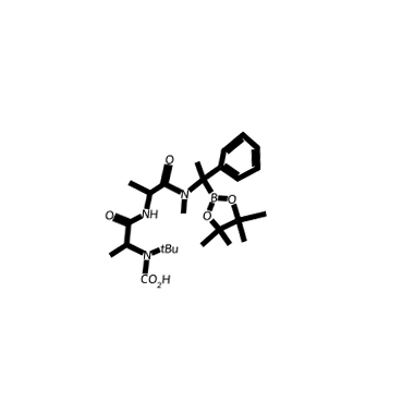 CC(NC(=O)C(C)N(C(=O)O)C(C)(C)C)C(=O)N(C)C(C)(B1OC(C)(C)C(C)(C)O1)c1ccccc1